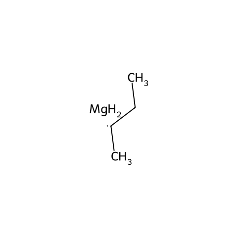 C[CH]CC.[MgH2]